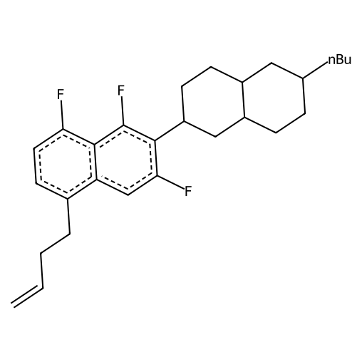 C=CCCc1ccc(F)c2c(F)c(C3CCC4CC(CCCC)CCC4C3)c(F)cc12